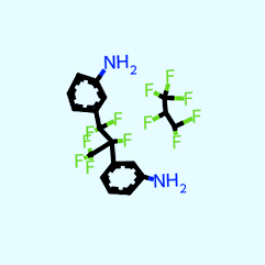 FC(F)C(F)C(F)(F)F.Nc1cccc(C(F)(F)C(F)(c2cccc(N)c2)C(F)(F)F)c1